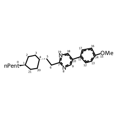 CCCCC[C@H]1CC[C@H](CCc2ncc(-c3ccc(OC)cc3)cn2)CC1